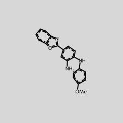 COc1ccc(Nc2ccc(-c3nc4ccccc4o3)cc2N)cc1